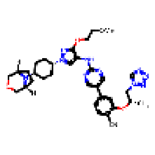 COCCOc1nn([C@H]2CC[C@H](N3[C@@H]4CC[C@H]3COC4)CC2)cc1Nc1ncc(-c2ccc(C#N)c(O[C@@H](C)Cn3cnnn3)c2)cn1